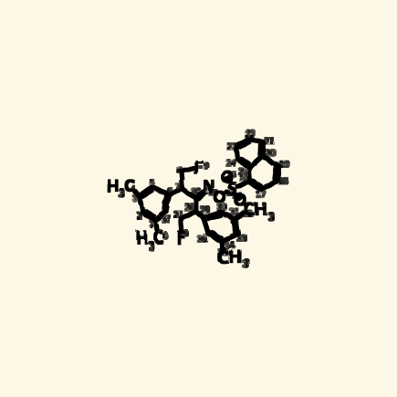 Cc1cc(C)cc(C(CF)C(=NOS(=O)(=O)c2cccc3ccccc23)C(CF)c2cc(C)cc(C)c2)c1